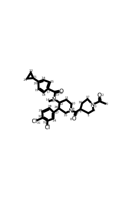 CC(=O)N1CCC(C(=O)N2CCC(N(C)C(=O)c3ccc(C4CC4)cc3)C(c3ccc(Cl)c(Cl)c3)C2)CC1